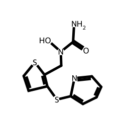 NC(=O)N(O)Cc1sccc1Sc1ccccn1